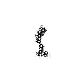 Cc1cc(-c2cc(C)c(Oc3c(F)c(F)c(S(=O)(=O)c4c(F)c(F)c(C)c(F)c4F)c(F)c3F)c(C)c2)cc(C)c1Oc1ccc(S(C)(=O)=O)cc1CS(=O)(=O)O